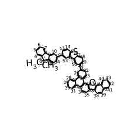 CC1(C)c2ccccc2-c2cc(-c3ccc4sc5ccc(-c6ccc7c(c6)c6ccccc6c6ccc8c9ccc%10ccccc%10c9oc8c67)cc5c4c3)ccc21